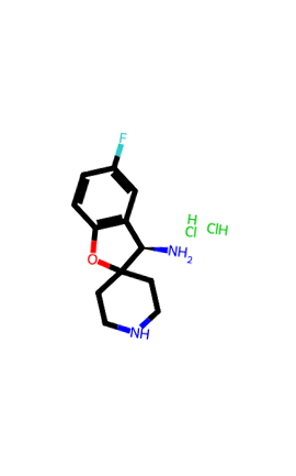 Cl.Cl.N[C@@H]1c2cc(F)ccc2OC12CCNCC2